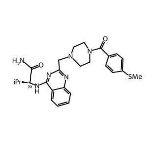 CSc1ccc(C(=O)N2CCN(Cc3nc(N[C@H](C(N)=O)C(C)C)c4ccccc4n3)CC2)cc1